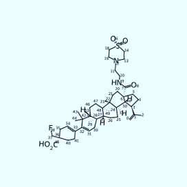 C=C(C)[C@@H]1CC[C@]2(C(=O)NCCN3CCS(=O)(=O)CC3)CC[C@]3(C)[C@H](CC[C@@H]4[C@@]5(C)CC=C(C6=CC[C@@](CF)(C(=O)O)CC6)C(C)(C)[C@@H]5CC[C@]43C)[C@@H]12